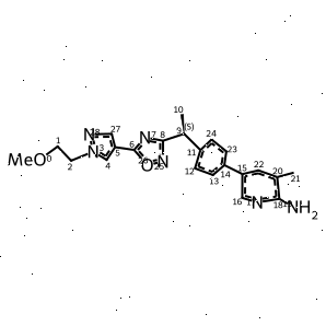 COCCn1cc(-c2nc([C@@H](C)c3ccc(-c4cnc(N)c(C)c4)cc3)no2)cn1